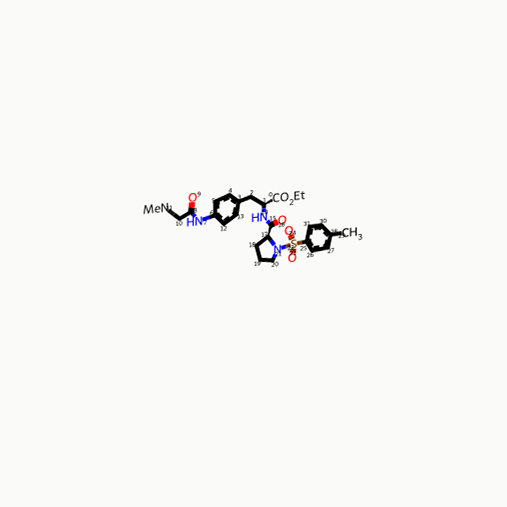 CCOC(=O)[C@H](Cc1ccc(NC(=O)CNC)cc1)NC(=O)[C@@H]1CCCN1S(=O)(=O)c1ccc(C)cc1